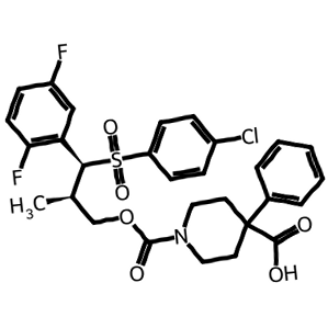 C[C@H](COC(=O)N1CCC(C(=O)O)(c2ccccc2)CC1)[C@@H](c1cc(F)ccc1F)S(=O)(=O)c1ccc(Cl)cc1